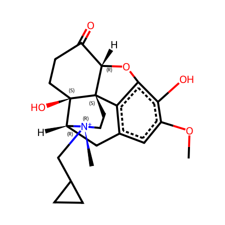 COc1cc2c3c(c1O)O[C@H]1C(=O)CC[C@@]4(O)[C@@H](C2)[N@@+](C)(CC2CC2)CC[C@]314